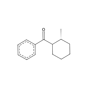 C[C@@H]1CCCCC1C(=O)c1ccccc1